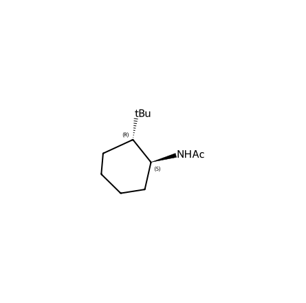 CC(=O)N[C@H]1CCCC[C@@H]1C(C)(C)C